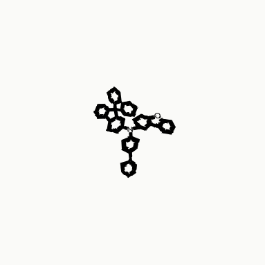 c1ccc(-c2ccc(N(c3ccc4c(c3)C(c3ccccc3)(c3ccccc3)c3ccccc3-4)c3ccc4oc5ccccc5c4c3)cc2)cc1